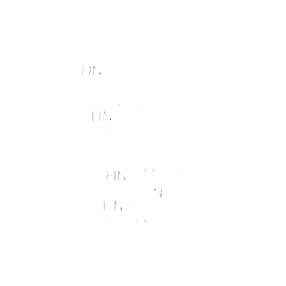 NC(=O)c1nc(-c2c(F)cccc2F)oc1Nc1ccc(NC(=O)C2CCCNC2)cc1